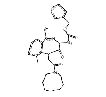 Cc1cccc2c1N(CC(=O)N1CCCCCCC1)C(=O)C(NC(=O)OCc1ccccc1)N=C2C(C)C